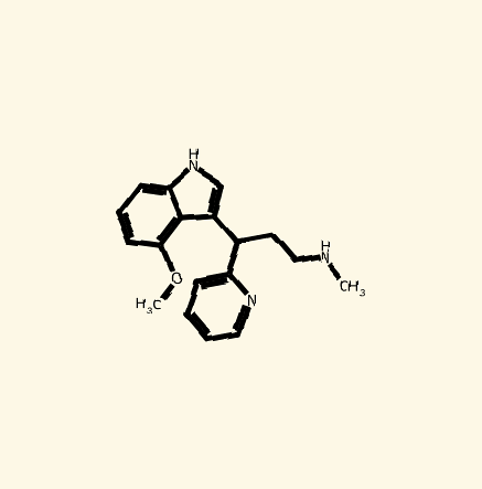 CNCCC(c1ccccn1)c1c[nH]c2cccc(OC)c12